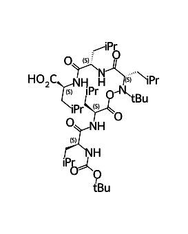 CC(C)C[C@H](NC(=O)[C@H](CC(C)C)NC(=O)[C@H](CC(C)C)N(OC(=O)[C@H](CC(C)C)NC(=O)[C@H](CC(C)C)NC(=O)OC(C)(C)C)C(C)(C)C)C(=O)O